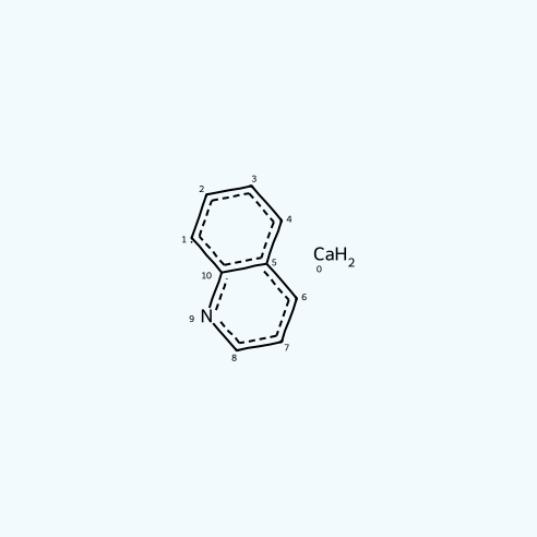 [CaH2].[c]1cccc2cccnc12